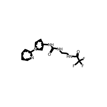 O=C(NCCNC(=O)C(F)(F)F)Nc1ccn(-c2ccccn2)c1